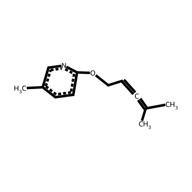 CC(C)=C=CCOc1ccc(C)cn1